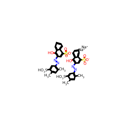 Cc1cc(C)c(S(=O)(=O)O)cc1/N=N/c1cc(S(=O)(=O)[O-])c2ccccc2c1O.Cc1cc(C)c(S(=O)(=O)O)cc1/N=N/c1cc(S(=O)(=O)[O-])c2ccccc2c1O.[Na+].[Na+]